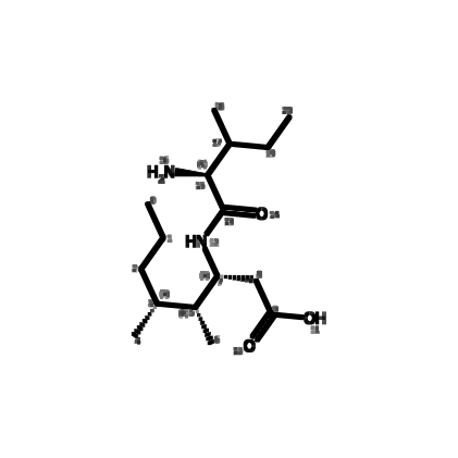 CCC[C@@H](C)[C@@H](C)[C@@H](CC(=O)O)NC(=O)[C@@H](N)C(C)CC